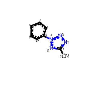 N#Cc1nnn(-c2ccccc2)n1